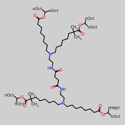 CCCCCCCCC(CCCCCCC)OC(=O)CCCCCCCN(CCCCCCC(C)(C)C(=O)OC(CCCCCCCC)CCCCCCCC)CCNC(=O)CCC(=O)NCCN(CCCCCCCC(=O)OC(CCCCCCCC)CCCCCCCC)CCCCCCC(C)(C)C(=O)OC(CCCCCCCC)CCCCCCCC